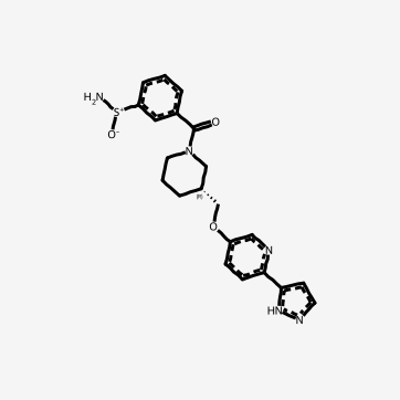 N[S+]([O-])c1cccc(C(=O)N2CCC[C@@H](COc3ccc(-c4ccn[nH]4)nc3)C2)c1